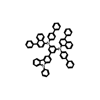 c1ccc(-c2ccc(N(c3cc(-c4ccc5c(c4)c4ccccc4n5-c4ccccc4)cc(N(c4ccc(-c5ccccc5)cc4)c4ccc(-c5ccccc5)c5ccccc45)c3)c3ccc(-c4ccccc4)c4ccccc34)cc2)cc1